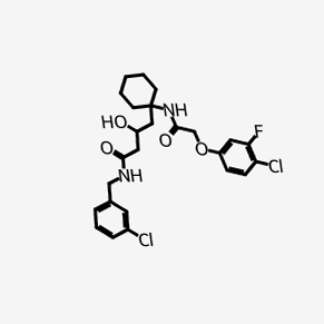 O=C(CC(O)CC1(NC(=O)COc2ccc(Cl)c(F)c2)CCCCC1)NCc1cccc(Cl)c1